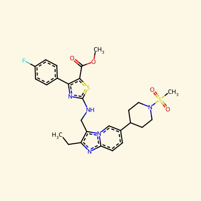 CCc1nc2ccc(C3CCN(S(C)(=O)=O)CC3)cn2c1CNc1nc(-c2ccc(F)cc2)c(C(=O)OC)s1